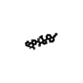 O=C=C1C=CN=C2C(n3ncc(C(=O)Nc4cnc(-n5nccn5)c(C(F)F)c4)c3C3CC3)=CC=CN12